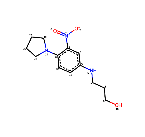 O=[N+]([O-])c1cc(NCCCO)ccc1N1CCCC1